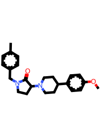 COc1ccc(C2CCN(C3CCN(Cc4ccc(C)cc4)C3=O)CC2)cc1